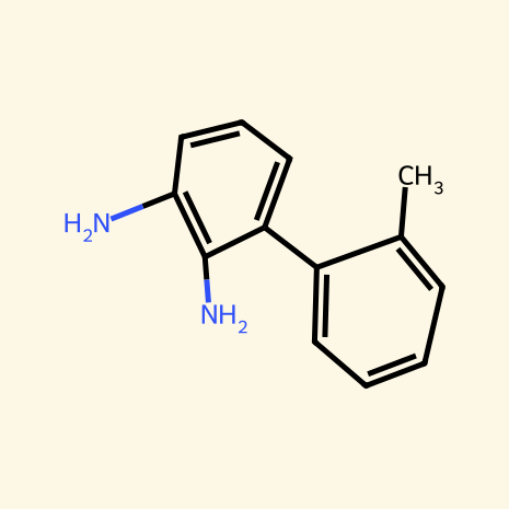 Cc1ccccc1-c1cccc(N)c1N